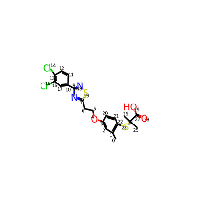 Cc1cc(OCCc2nc(-c3ccc(Cl)c(Cl)c3)ns2)ccc1SC(C)(C)C(=O)O